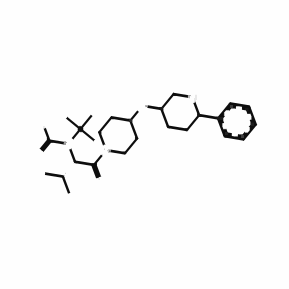 CC(C)[C@@H](C(=O)N1CCC(OC2CCC(c3ccccc3)NC2)CC1)N(C(=O)O)C(C)(C)C